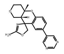 C[C@]12CCOC[C@H]1C1(COC(N)=N1)c1cc(-c3cncnc3)ccc1O2